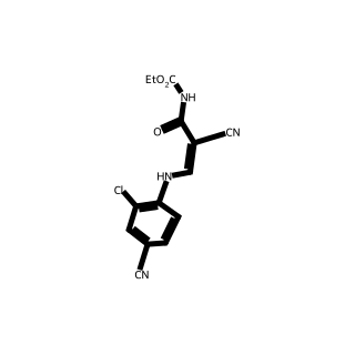 CCOC(=O)NC(=O)C(C#N)=CNc1ccc(C#N)cc1Cl